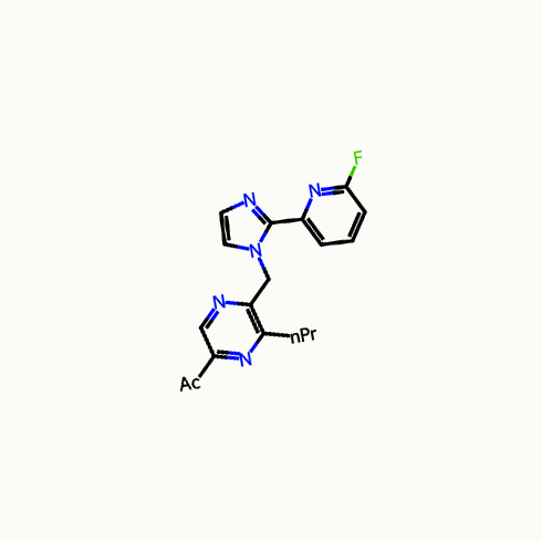 CCCc1nc(C(C)=O)cnc1Cn1ccnc1-c1cccc(F)n1